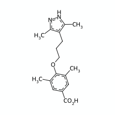 Cc1cc(C(=O)O)cc(C)c1OCCCc1c(C)n[nH]c1C